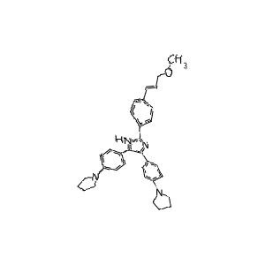 COC/C=C/c1ccc(-c2nc(-c3ccc(N4CCCC4)cc3)c(-c3ccc(N4CCCC4)cc3)[nH]2)cc1